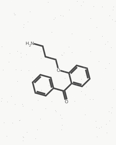 NCCCOc1ccccc1C(=O)c1ccccc1